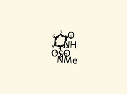 CNS(=O)(=O)c1cccc(=O)[nH]1